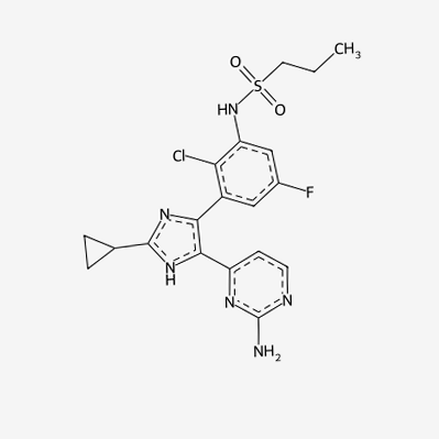 CCCS(=O)(=O)Nc1cc(F)cc(-c2nc(C3CC3)[nH]c2-c2ccnc(N)n2)c1Cl